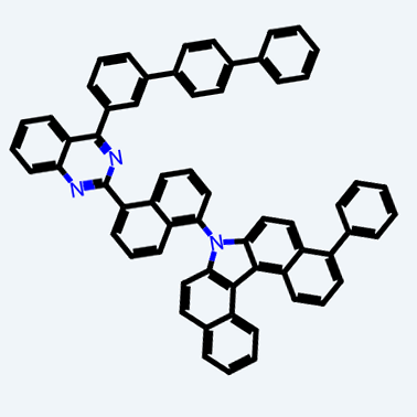 c1ccc(-c2ccc(-c3cccc(-c4nc(-c5cccc6c(-n7c8ccc9ccccc9c8c8c9cccc(-c%10ccccc%10)c9ccc87)cccc56)nc5ccccc45)c3)cc2)cc1